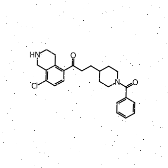 O=C(CCC1CCN(C(=O)c2ccccc2)CC1)c1ccc(Cl)c2c1CCNC2